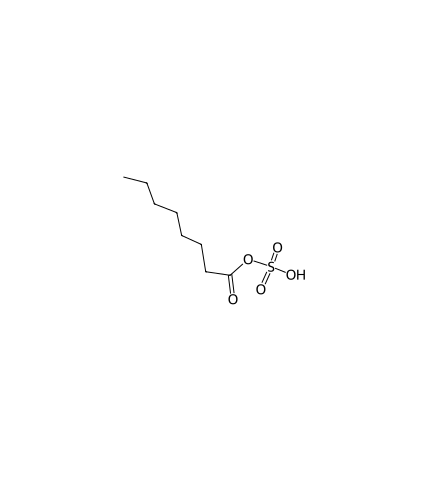 CCCCCCCC(=O)OS(=O)(=O)O